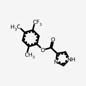 Cc1cc(C)c(C(F)(F)F)cc1OC(=O)c1c[nH]cn1